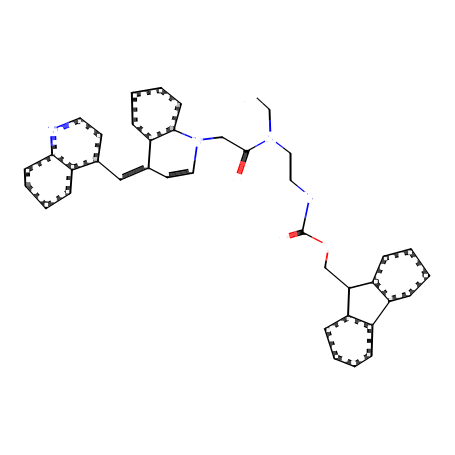 O=C(O)CN(CCNC(=O)OCC1c2ccccc2-c2ccccc21)C(=O)CN1C=C/C(=C/c2ccnc3ccccc23)c2ccccc21